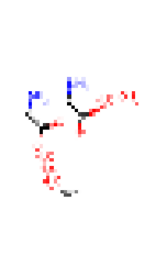 NCC(=O)[O-].NCC(=O)[O-].O.O.O.O.O.[Zn+2]